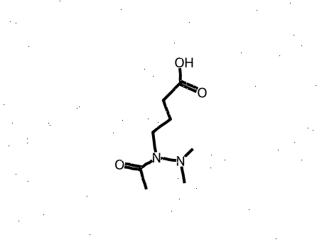 CC(=O)N(CCCC(=O)O)N(C)C